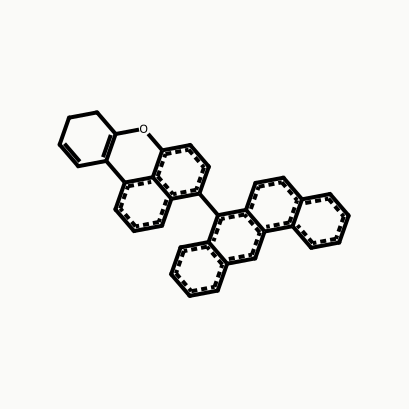 C1=CC2=C(CC1)Oc1ccc(-c3c4ccccc4cc4c3ccc3ccccc34)c3cccc2c13